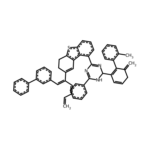 C=C/C=C\C(=Cc1cccc(-c2ccccc2)c1)C1=Cc2c(sc3cccc(C4=NC(C5=C(c6ccccc6C)C(=C)CC=C5)NC(c5ccccc5)=N4)c23)CC1